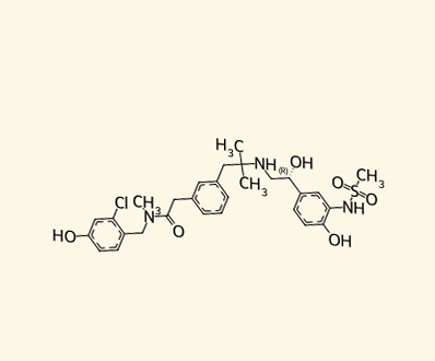 CN(Cc1ccc(O)cc1Cl)C(=O)Cc1cccc(CC(C)(C)NC[C@H](O)c2ccc(O)c(NS(C)(=O)=O)c2)c1